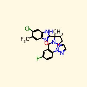 CC1(c2nc3cc(C(F)(F)F)c(Cl)cc3[nH]2)CCCN1C(=O)c1cc(F)ccc1-n1nccn1